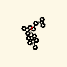 c1ccc(-c2ccccc2-c2ccccc2N(c2ccc(-c3cccc(-n4c5ccccc5c5ccccc54)c3)cc2)c2cccc3c2-c2ccccc2C32c3ccccc3N(c3ccccc3)c3ccccc32)cc1